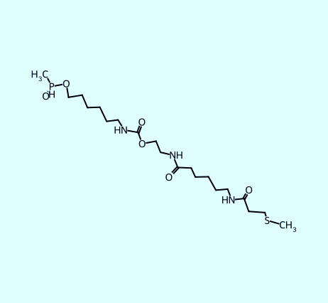 CSCCC(=O)NCCCCCC(=O)NCCOC(=O)NCCCCCCO[PH](C)=O